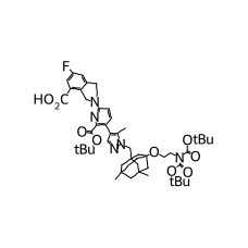 Cc1c(-c2ccc(N3CCc4cc(F)cc(C(=O)O)c4C3)nc2C(=O)OC(C)(C)C)cnn1CC12CC3(C)CC(C)(C1)CC(OCCN(C(=O)OC(C)(C)C)C(=O)OC(C)(C)C)(C3)C2